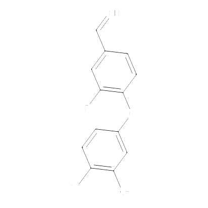 C=Cc1ccc(Oc2ccc(Cl)c(C(F)(F)F)c2)c(F)c1